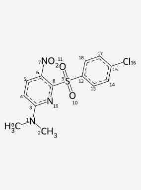 CN(C)c1ccc([N+](=O)[O-])c(S(=O)(=O)c2ccc(Cl)cc2)n1